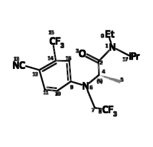 CCN(C(=O)[C@H](C)N(CC(F)(F)F)c1ccc(C#N)c(C(F)(F)F)c1)C(C)C